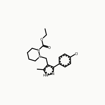 CCOC(=O)N1CCCCN1Cc1c(-c2ccc(Cl)cc2)n[nH]c1C